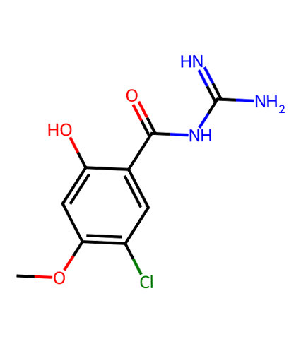 COc1cc(O)c(C(=O)NC(=N)N)cc1Cl